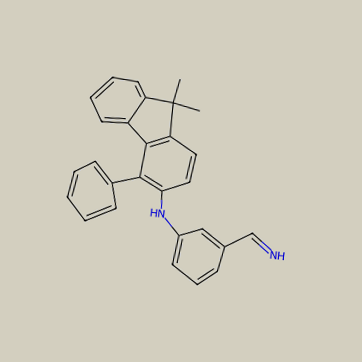 CC1(C)c2ccccc2-c2c1ccc(Nc1cccc(C=N)c1)c2-c1ccccc1